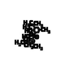 Cc1cc(C(C)(C)C)c(O)c(S(=O)(=O)c2cc(C)cc(C(C)(C)C)c2O)c1